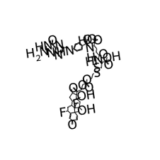 CC1CC2C3CC(F)C4=CC(=O)C=CC4(C)C3(F)C(O)CC2(C)C1(O)C(=O)COC(=O)OCCSSCC(NC(=O)CCC(NC(=O)c1ccc(NCc2cnc3nc(N)[nH]c(=O)c3n2)cc1)C(=O)O)C(=O)O